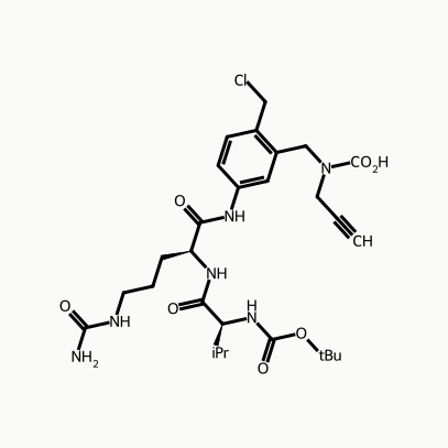 C#CCN(Cc1cc(NC(=O)[C@H](CCCNC(N)=O)NC(=O)[C@@H](NC(=O)OC(C)(C)C)C(C)C)ccc1CCl)C(=O)O